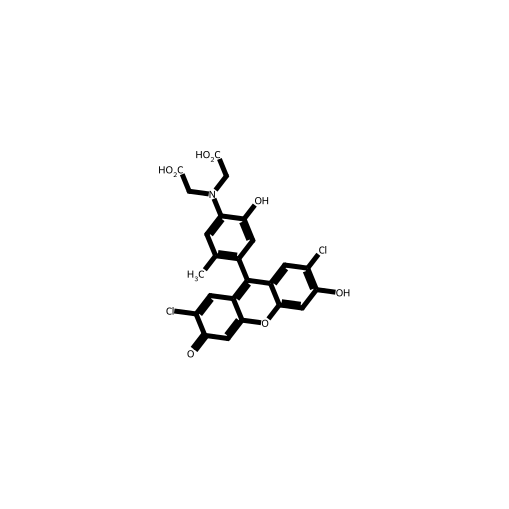 Cc1cc(N(CC(=O)O)CC(=O)O)c(O)cc1-c1c2cc(Cl)c(=O)cc-2oc2cc(O)c(Cl)cc12